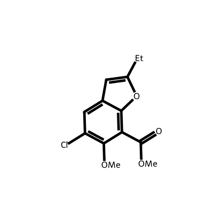 CCc1cc2cc(Cl)c(OC)c(C(=O)OC)c2o1